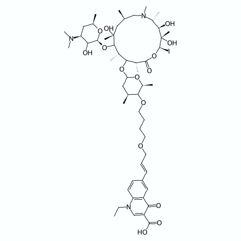 CCn1cc(C(=O)O)c(=O)c2cc(C=CCOCCCCOC3[C@H](C)OC(OC4[C@H](C)C(O[C@@H]5O[C@H](C)C[C@H](N(C)C)C5O)[C@](C)(O)C[C@@H](C)CN(C)[C@H](C)[C@@H](O)[C@](C)(O)[C@@H](I)OC(=O)[C@@H]4C)C[C@@H]3C)ccc21